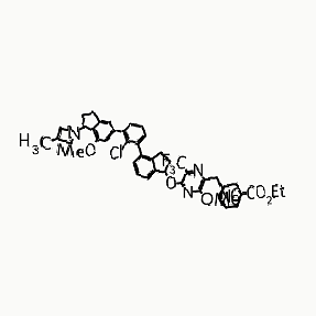 CCOC(=O)C12CCC(CC1)N(Cc1nc(C(F)(F)F)c(OC3CCc4c(-c5cccc(-c6cc7c(c(OC)c6)C(N6CC(C)C6)CC7)c5Cl)cccc43)nc1OC)C2